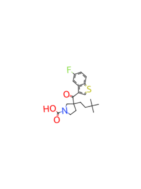 CC(C)(C)CCC1(C(=O)c2csc3ccc(F)cc23)CCN(C(=O)O)C1